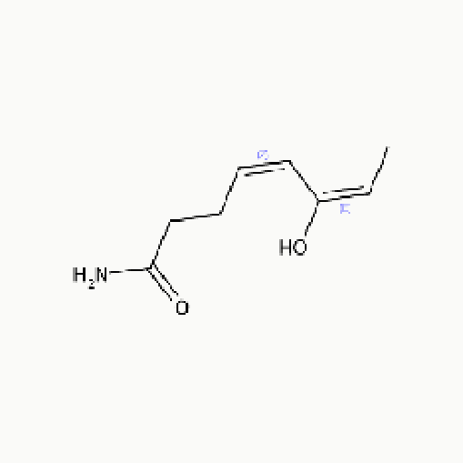 C/C=C(O)\C=C/CCC(N)=O